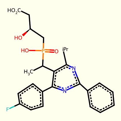 CC(C)c1nc(-c2ccccc2)nc(-c2ccc(F)cc2)c1C(C)P(=O)(O)C[C@@H](O)CC(=O)O